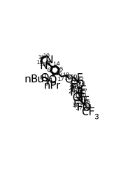 CCCCOC(CCC)Oc1cc(-c2ncccn2)ccc1CCOCC(F)(F)OC(F)(F)C(F)(F)OC(F)(F)C(F)(F)OC(F)(F)F